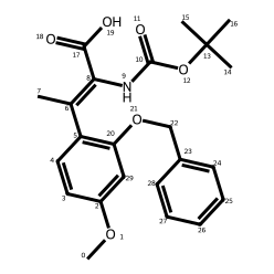 COc1ccc(/C(C)=C(\NC(=O)OC(C)(C)C)C(=O)O)c(OCc2ccccc2)c1